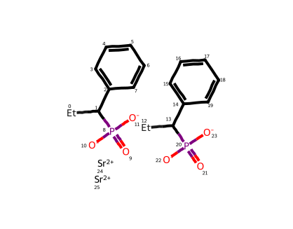 CCC(c1ccccc1)P(=O)([O-])[O-].CCC(c1ccccc1)P(=O)([O-])[O-].[Sr+2].[Sr+2]